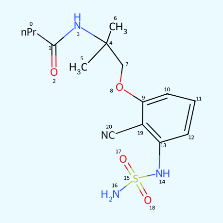 CCCC(=O)NC(C)(C)COc1cccc(NS(N)(=O)=O)c1C#N